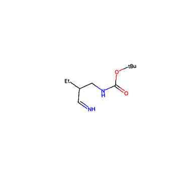 CCC(C=N)CNC(=O)OC(C)(C)C